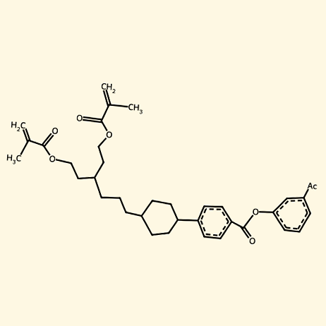 C=C(C)C(=O)OCCC(CCCC1CCC(c2ccc(C(=O)Oc3cccc(C(C)=O)c3)cc2)CC1)CCOC(=O)C(=C)C